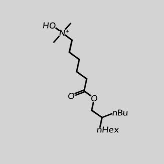 CCCCCCC(CCCC)COC(=O)CCCCC[N+](C)(C)O